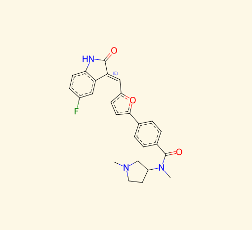 CN1CCC(N(C)C(=O)c2ccc(-c3ccc(/C=C4/C(=O)Nc5ccc(F)cc54)o3)cc2)C1